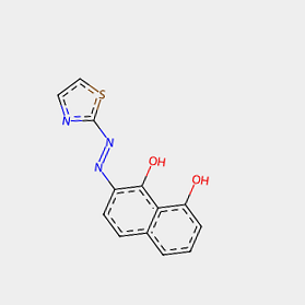 Oc1cccc2ccc(N=Nc3nccs3)c(O)c12